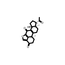 CC(=O)[C@H]1CC[C@H]2C3=C(CC[C@]12C)[C@@]1(C)CCC(=O)c2coc(c21)C3=O